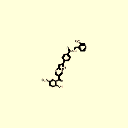 O=C(NCc1ccccc1C(F)(F)F)c1ccc(-c2cc3ncc(C(=O)c4cc([N+](=O)[O-])ccc4O)cn3n2)cc1